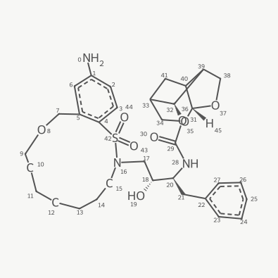 Nc1ccc2c(c1)COCCCCCCCN(C[C@@H](O)[C@H](Cc1ccccc1)NC(=O)O[C@H]1C3CO[C@H]4OCC1C4C3)S2(=O)=O